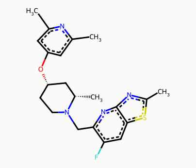 Cc1cc(O[C@H]2CCN(Cc3nc4nc(C)sc4cc3F)[C@@H](C)C2)cc(C)n1